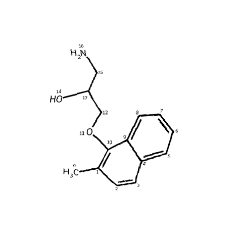 Cc1ccc2ccccc2c1OCC(O)CN